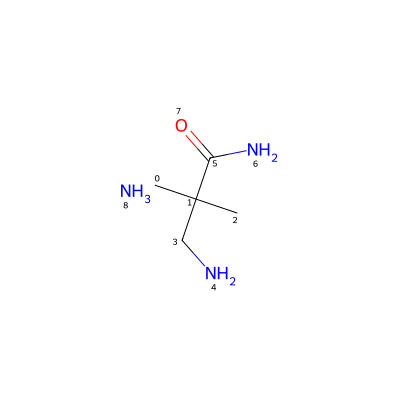 CC(C)(CN)C(N)=O.N